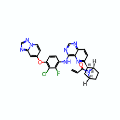 C=CC(=O)N1[C@@H]2CC[C@H]1[C@H](c1ccc3ncnc(Nc4ccc(Oc5ccn6ncnc6c5)c(Cl)c4F)c3n1)C2